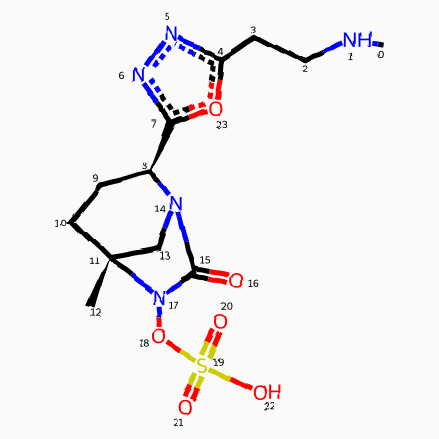 CNCCc1nnc([C@@H]2CC[C@]3(C)CN2C(=O)N3OS(=O)(=O)O)o1